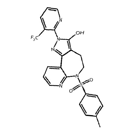 Cc1ccc(S(=O)(=O)N2CCc3c(nn(-c4ncccc4C(F)(F)F)c3O)-c3cccnc32)cc1